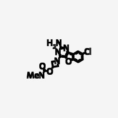 CNC(=O)OC1CN(c2nc(N)nc3c2oc2ccc(Cl)cc23)C1